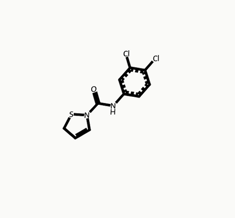 O=C(Nc1ccc(Cl)c(Cl)c1)N1C=CCS1